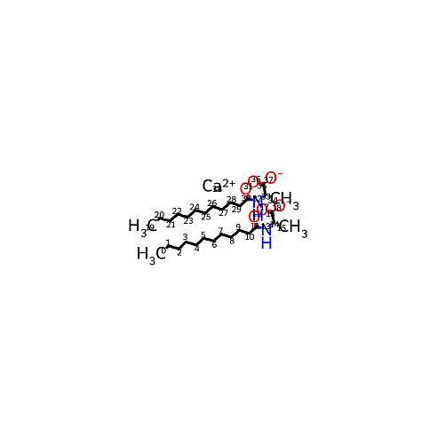 CCCCCCCCCCCC(=O)N[C@@H](C)C(=O)[O-].CCCCCCCCCCCC(=O)N[C@@H](C)C(=O)[O-].[Ca+2]